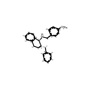 COc1ccc(CN[C@@H]2c3ccccc3CC[C@H]2Cc2ccccc2)cc1